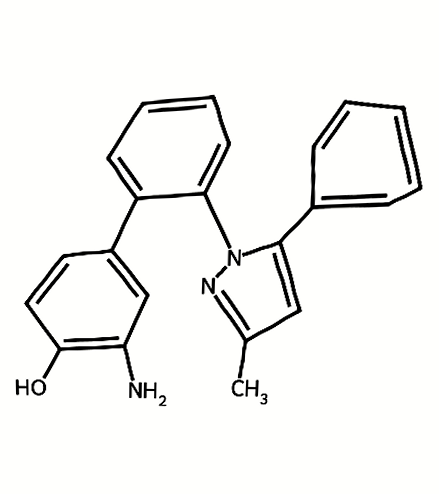 Cc1cc(-c2ccccc2)n(-c2ccccc2-c2ccc(O)c(N)c2)n1